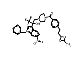 CC1OC(CCc2ccc(C(=O)N3CCN(CC(O)(c4cn(Cc5ccccc5)c5cc([N+](=O)[O-])ccc45)C(F)(F)F)CC3)cc2)O1